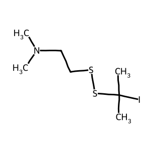 CN(C)CCSSC(C)(C)I